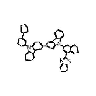 c1ccc(-c2cccc(-n3c4ccccc4c4cc(-c5ccc6c(c5)c5ccccc5n6-c5cc(-c6nc7ccccc7s6)c6ccccc6c5)ccc43)c2)cc1